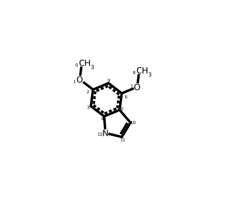 COc1cc2c(c(OC)c1)C=C[N]2